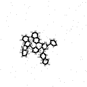 c1ccc(-c2nc(-c3ccc4ccccc4c3)c(-c3cccc(-c4nc5ccccc5c5nc6ccccn6c45)c3)c(-c3ccc4ccccc4c3)n2)cc1